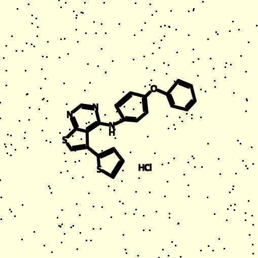 Cl.c1ccc(Oc2ccc(Nc3ncnc4scc(-c5cccs5)c34)cc2)cc1